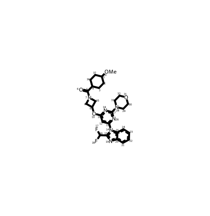 COC1CCC(C(=O)N2CC(Oc3cc(-n4c(C(F)F)nc5ccccc54)nc(N4CCOCC4)n3)C2)CC1